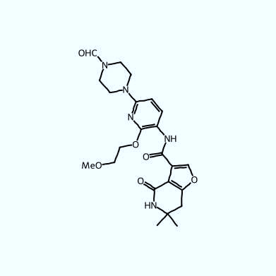 COCCOc1nc(N2CCN(C=O)CC2)ccc1NC(=O)c1coc2c1C(=O)NC(C)(C)C2